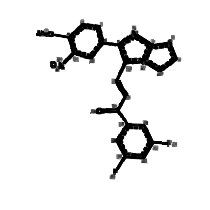 COc1ccc(-c2nc3sccn3c2/C=C/C(=O)c2cc(F)cc(F)c2)cc1[N+](=O)[O-]